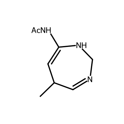 CC(=O)NC1=CC(C)C=NCN1